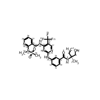 CC[C@@](C)(CO)NC(=O)c1cccc(Nc2ncc(C(F)(F)F)c(NCc3cccnc3N(C)S(C)(=O)=O)n2)c1